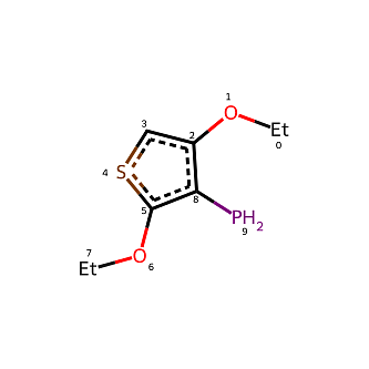 CCOc1csc(OCC)c1P